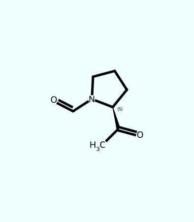 CC(=O)[C@@H]1CCCN1C=O